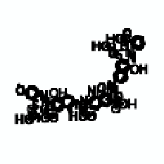 COc1ccc(N=Nc2c(S(=O)(=O)O)cc3c(C)c(N=Nc4c(S(=O)(=O)O)cc5cc(S(=O)(=O)O)c(N=Nc6ccc7c(O)c(N=Nc8ccccc8S(=O)(=O)O)c(SOOO)cc7c6)c(O)c5c4N)ccc3c2O)c(SOOO)c1